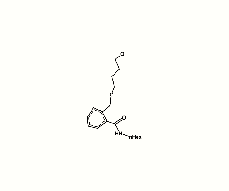 CCCCCCNC(=O)c1ccccc1CCCCCC[O]